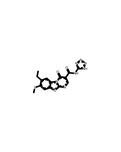 CCc1cc2c(cc1SC)sc1ncc(C(=O)Nc3nnn[nH]3)c(=O)n12